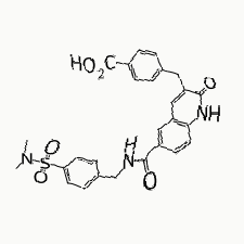 CN(C)S(=O)(=O)c1ccc(CNC(=O)c2ccc3[nH]c(=O)c(Cc4ccc(C(=O)O)cc4)cc3c2)cc1